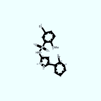 CCc1ccc(OC)c(S(=O)(=O)Nc2cc(-c3ccccc3Br)no2)c1